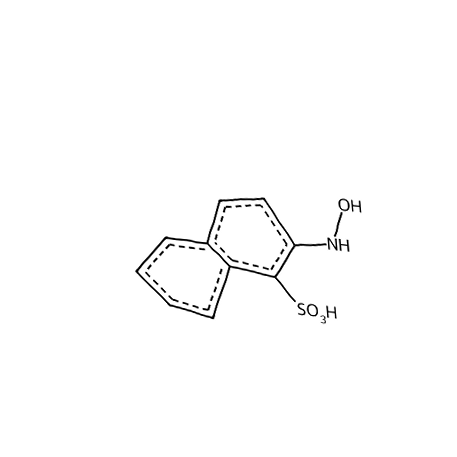 O=S(=O)(O)c1c(NO)ccc2ccccc12